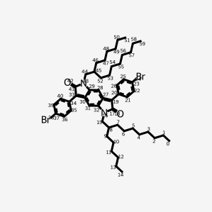 CCCCCCCCC(CCCCCC)CN1C(=O)C(c2ccc(Br)cc2)=c2cc3c(cc21)=C(c1ccc(Br)cc1)C(=O)N3CC(CCCCCC)CCCCCCCC